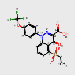 CCS(=O)(=O)c1cccc2c1c(=O)c(C(=O)O)nn2-c1ccc(OC(F)(F)F)cc1